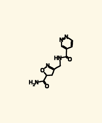 NC(=O)C1CC(CNC(=O)c2ccnnc2)=NO1